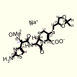 CO/N=C(\C(=O)NC1C(=O)N2C(C(=O)[O-])=C(SCC3COC(C)(C)O3)CS[C@H]12)c1csc(N)n1.[Na+]